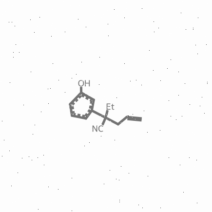 C=CCC(C#N)(CC)c1cccc(O)c1